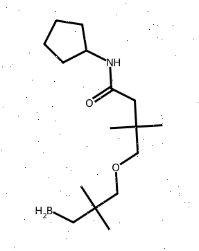 BCC(C)(C)COCC(C)(C)CC(=O)NC1CCCC1